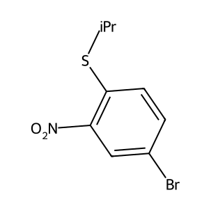 CC(C)Sc1ccc(Br)cc1[N+](=O)[O-]